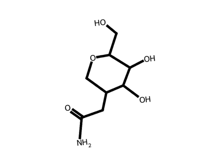 NC(=O)CC1COC(CO)C(O)C1O